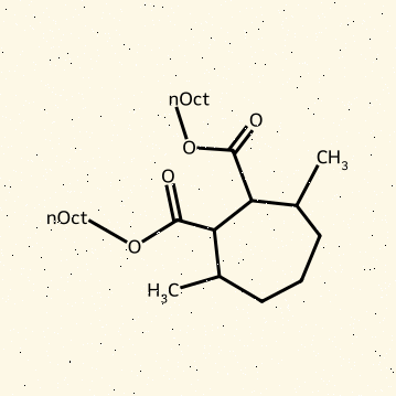 CCCCCCCCOC(=O)C1C(C)CCCC(C)C1C(=O)OCCCCCCCC